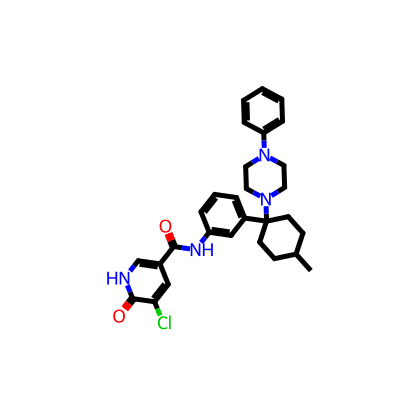 CC1CCC(c2cccc(NC(=O)c3c[nH]c(=O)c(Cl)c3)c2)(N2CCN(c3ccccc3)CC2)CC1